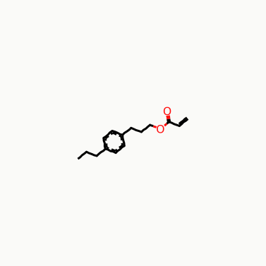 C=CC(=O)OCCCc1ccc(CCC)cc1